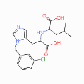 CC(C)CC(NC(Cc1cncn1Cc1cccc(Cl)c1)C(=O)O)C(=O)O